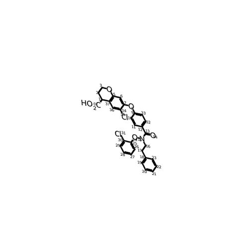 O=C(O)C1CCOc2cc(Oc3ccc(C(=O)N(CCc4ccccc4)Oc4ccccc4Cl)cc3)c(Cl)cc21